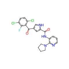 O=C(Nc1cccnc1N1CCCC1)c1cc(C(=O)c2c(Cl)ccc(Cl)c2F)c[nH]1